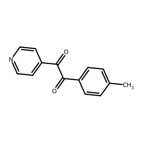 Cc1ccc(C(=O)C(=O)c2ccncc2)cc1